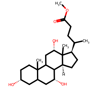 COC(=O)CCC(C)[C@H]1CC[C@H]2C3C(C[C@H](O)C12C)C1(C)CC[C@@H](O)CC1C[C@H]3O